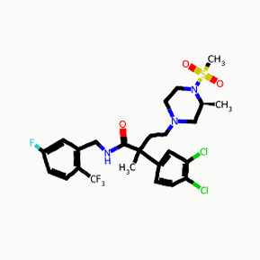 C[C@H]1CN(CCC(C)(C(=O)NCc2cc(F)ccc2C(F)(F)F)c2ccc(Cl)c(Cl)c2)CCN1S(C)(=O)=O